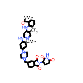 CNC(=O)c1ccccc1Nc1cc(Nc2ccc(N3CCN(Cc4ccc5c(c4)C(=O)N(C4CCC(=O)NC4=O)C5=O)CC3)cc2OC)ncc1C(F)(F)F